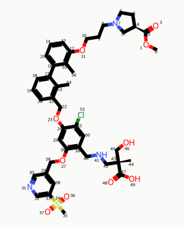 COC(=O)[C@@H]1CCN(CCCOc2cccc(-c3cccc(COc4cc(OCc5cncc(S(C)(=O)=O)c5)c(CNC[C@](C)(CO)C(=O)O)cc4Cl)c3C)c2C)C1